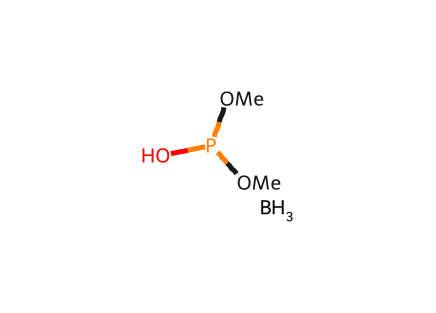 B.COP(O)OC